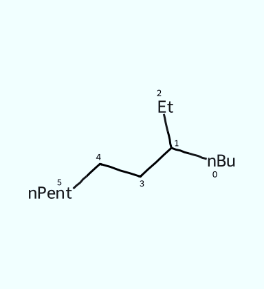 [CH2]CCCC(CC)CCCCCCC